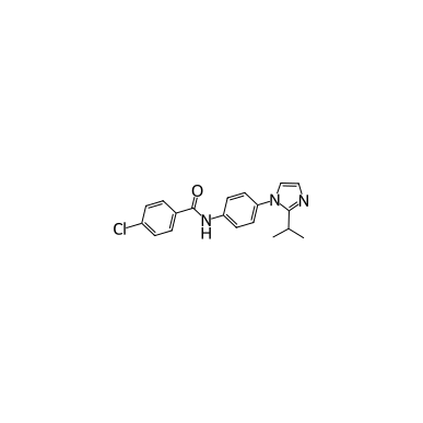 CC(C)c1nccn1-c1ccc(NC(=O)c2ccc(Cl)cc2)cc1